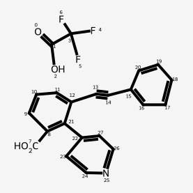 O=C(O)C(F)(F)F.O=C(O)c1cccc(C#Cc2ccccc2)c1-c1ccncc1